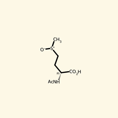 CC(=O)N[C@H](CC[S+](C)[O-])C(=O)O